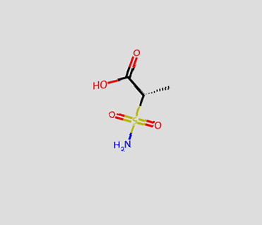 C[C@@H](C(=O)O)S(N)(=O)=O